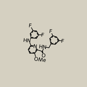 COc1ccc(Nc2cc(F)cc(F)c2)nc1C(=O)NCc1cc(F)cc(F)c1